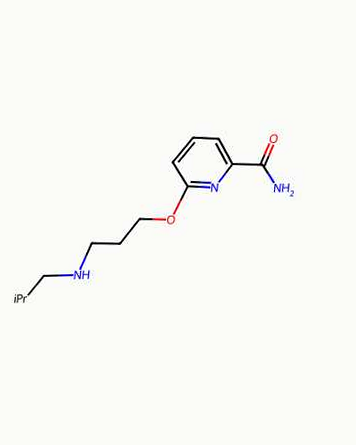 CC(C)CNCCCOc1cccc(C(N)=O)n1